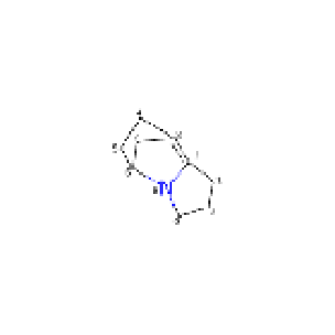 C1CC2=C3CCC(C3)N2C1